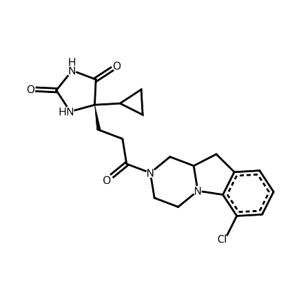 O=C1NC(=O)[C@](CCC(=O)N2CCN3c4c(Cl)cccc4CC3C2)(C2CC2)N1